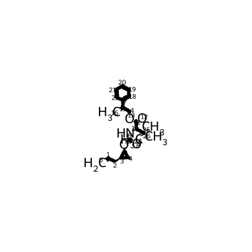 C=CC[C@@H]1C[C@H]1OC(=O)N[C@H](C(=O)OCC(C)c1ccccc1)C(C)(C)C